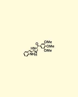 COc1cc(C(=O)C2CNC(c3cc4ccccc4[nH]3)N2)cc(OC)c1OC